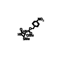 CO[C@@]1(NC(=O)OCc2ccc([N+](=O)[O-])cc2)C(=O)NC1SC